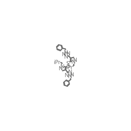 CC(C)Cn1ncc(-c2nnn(Cc3ccccc3)n2)c1SSc1c(-c2nnn(Cc3ccccc3)n2)cnn1CC(C)C